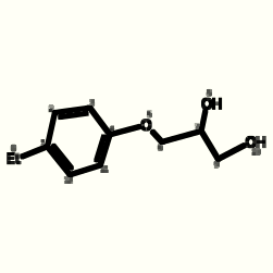 CCc1ccc(OCC(O)CO)cc1